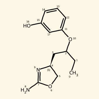 CCC(C[C@H]1COC(N)=N1)Oc1cccc(O)c1